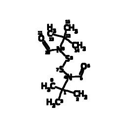 CC(C)(C)N(C=O)SSN(C=O)C(C)(C)C